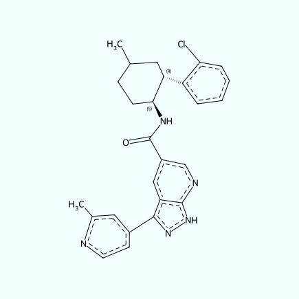 Cc1cc(-c2n[nH]c3ncc(C(=O)N[C@H]4CCC(C)C[C@@H]4c4ccccc4Cl)cc23)ccn1